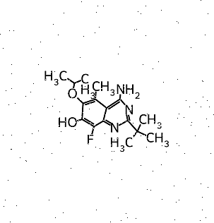 Cc1c(OC(C)C)c(O)c(F)c2nc(C(C)(C)C)nc(N)c12